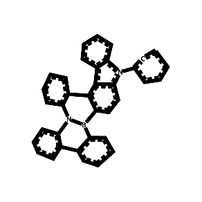 c1ccc(-n2c3ccccc3c3c4c(ccc32)B2c3ccccc3-c3ccccc3N2c2ccccc2-4)cc1